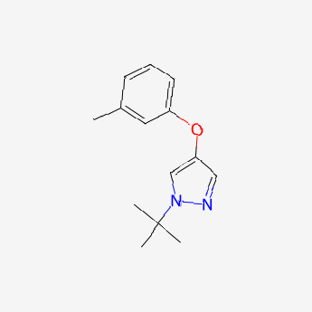 Cc1cccc(Oc2cnn(C(C)(C)C)c2)c1